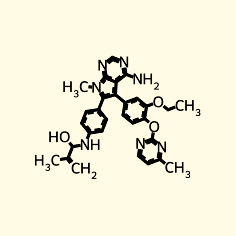 C=C(C)C(O)Nc1ccc(-c2c(-c3ccc(Oc4nccc(C)n4)c(OCC)c3)c3c(N)ncnc3n2C)cc1